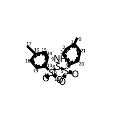 Cc1ccc(S(=O)(=O)S(=N)S(=O)(=O)c2ccc(C)cc2)cc1